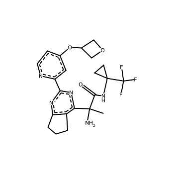 CC(N)(C(=O)NC1(C(F)(F)F)CC1)c1nc(-c2cc(OC3COC3)ccn2)nc2c1CCC2